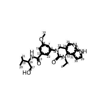 CCN1C(=O)N(c2cc(OC)cc(C(=O)NC(CO)C(C)C)c2)Cc2cnc3[nH]ccc3c21